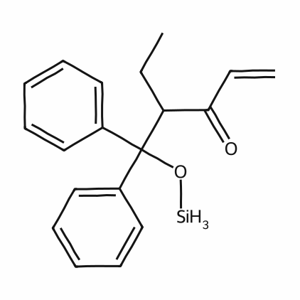 C=CC(=O)C(CC)C(O[SiH3])(c1ccccc1)c1ccccc1